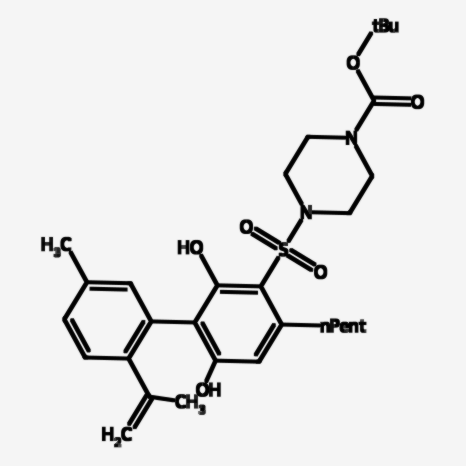 C=C(C)c1ccc(C)cc1-c1c(O)cc(CCCCC)c(S(=O)(=O)N2CCN(C(=O)OC(C)(C)C)CC2)c1O